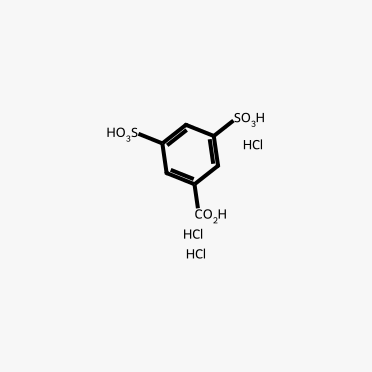 Cl.Cl.Cl.O=C(O)c1cc(S(=O)(=O)O)cc(S(=O)(=O)O)c1